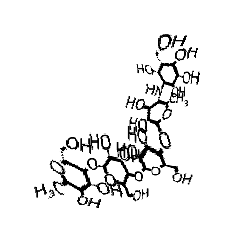 CC1O[C@H](CO)[C@@H](O[C@H]2OC(CO)C(OC3O[C@H](CO)C(OC4OC(C)[C@@H](N[C@@H]5C(O)[C@@H](O)C(O)[C@@H](CO)[C@H]5O)C(O)[C@H]4O)[C@H](O)[C@H]3O)C(O)[C@H]2O)[C@H](O)C1O